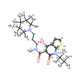 [2H]N(CCCN1C([2H])([2H])C([2H])([2H])C([2H])([2H])C([2H])(C)C1([2H])[2H])C(=O)c1c(O)c2ccsc2n(C([2H])(C)C([2H])([2H])[2H])c1=O